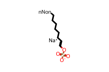 CCCCCCCCCCCCCCCC=COS(=O)(=O)[O-].[Na+]